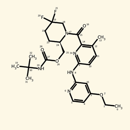 CCOc1ccnc(Nc2ccc(C)c(C(=O)N3CC(F)(F)CC[C@@H]3COC(=O)NC(C)(C)C)n2)c1